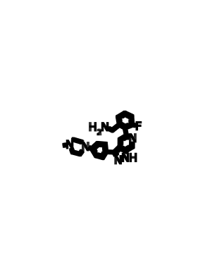 CN1CCN(c2ccc(-c3n[nH]c4cnc(-c5c(F)cccc5CN)cc34)cc2)CC1